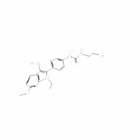 CCn1c(-c2ccc(NC(=O)NCCCl)cc2)c(N)c2ccc(OC)cc21